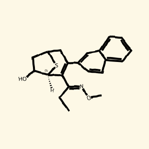 CCC(=NOC)C1=C(c2ccc3ccccc3c2)CC2CC(O)[C@H]1S2